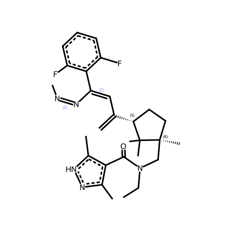 C=C(/C=C(\N=N/C)c1c(F)cccc1F)[C@@H]1CC[C@@](C)(CN(CC)C(=O)c2c(C)n[nH]c2C)C1(C)C